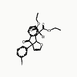 CCOC(=O)C(Br)(CC1OC=CC1(C(=O)c1ccccc1)c1cccc(F)c1)C(=O)OCC